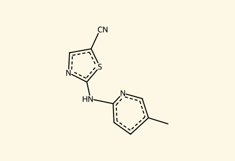 Cc1ccc(Nc2ncc(C#N)s2)nc1